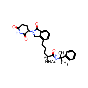 CC(=O)N[C@@H](CCCc1cccc2c1CN(C1CCC(=O)NC1=O)C2=O)C(=O)NC(C)(C)c1ccccc1